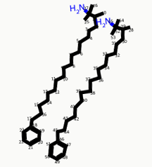 CC(CCCCCCCCCCCCCCCCc1ccccc1)C(C)(C)N.CC(CCCCCCCCCCCCCCCCc1ccccc1)C(C)(C)N